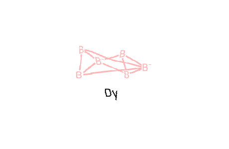 B12B3[B-]14B1B4[B-]231.[Dy]